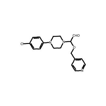 O=CC(OCc1ccncc1)N1CCN(c2ccc(Cl)cc2)CC1